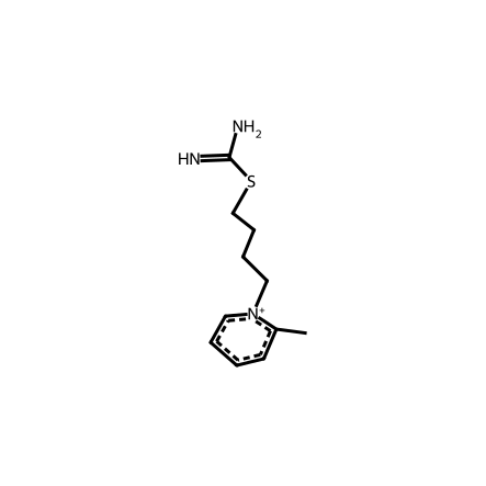 Cc1cccc[n+]1CCCCSC(=N)N